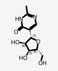 Cc1ncc([C@@H]2O[C@H](CO)[C@@H](O)[C@H]2O)c(=O)[nH]1